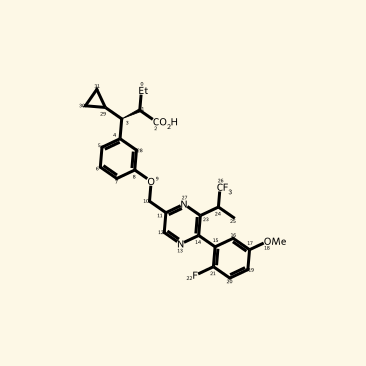 CCC(C(=O)O)[C@@H](c1cccc(OCc2cnc(-c3cc(OC)ccc3F)c(C(C)C(F)(F)F)n2)c1)C1CC1